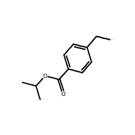 [CH2]Cc1ccc(C(=O)OC(C)C)cc1